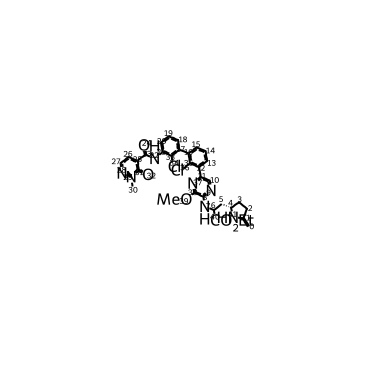 C=C1CC[C@@H](CC(Nc2ncc(-c3cccc(-c4cccc(NC(=O)c5ccnn(C)c5=O)c4Cl)c3Cl)nc2OC)C(=O)OCC)N1